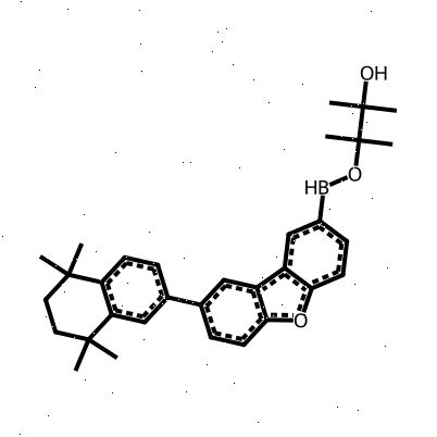 CC1(C)CCC(C)(C)c2cc(-c3ccc4oc5ccc(BOC(C)(C)C(C)(C)O)cc5c4c3)ccc21